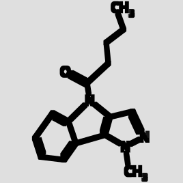 CCCCC(=O)n1c2ccccc2c2c1cnn2C